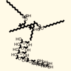 CC(O)COC(C)CO.CC(O)COC(C)CO.CC(O)COC(C)CO.CC(O)COC(C)CO.CC(O)COC(C)CO.CCCCCCCCCCCCCOP(O)OCCC(C)C(CCCCC(CC(CCCCCCC)C(C)(C)C)C(C)CCOP(O)OCCCCCCCCCCCCC)CC(CCCCCCC)C(C)(C)C.OP(O)O.OP(O)O.OP(O)O